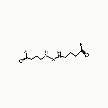 O=C(F)CCCNSNCCCC(=O)F